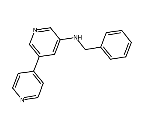 c1ccc(CNc2cncc(-c3ccncc3)c2)cc1